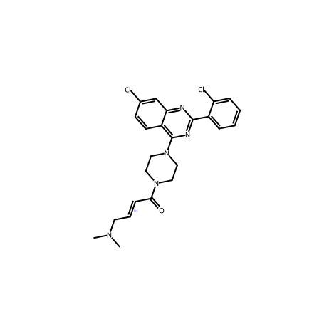 CN(C)C/C=C/C(=O)N1CCN(c2nc(-c3ccccc3Cl)nc3cc(Cl)ccc23)CC1